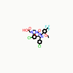 CCOc1cc(C(F)(F)F)ccc1C1=NC(c2ccc(Cl)cc2)C(c2ccc(Cl)cc2)N1C(=O)N1CCN(CC(=O)O)CC1